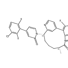 C[C@@H]1CCC[C@H](n2ccc(-c3c(F)ccc(Cl)c3F)cc2=O)c2cc(ccn2)-c2c(F)cccc2NC1=O